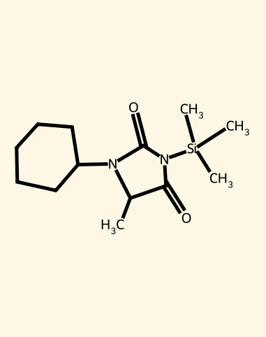 CC1C(=O)N([Si](C)(C)C)C(=O)N1C1CCCCC1